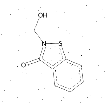 O=c1c2ccccc2sn1CO